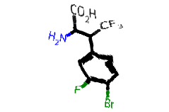 NC(C(=O)O)C(c1ccc(Br)c(F)c1)C(F)(F)F